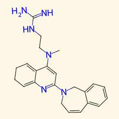 CN(CCNC(=N)N)c1cc(N2CC=Cc3ccccc3C2)nc2c1=CCCC=2